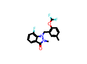 Cc1ccc(OC(F)F)c(Cn2c3c(F)cccc3c(=O)n2C)c1